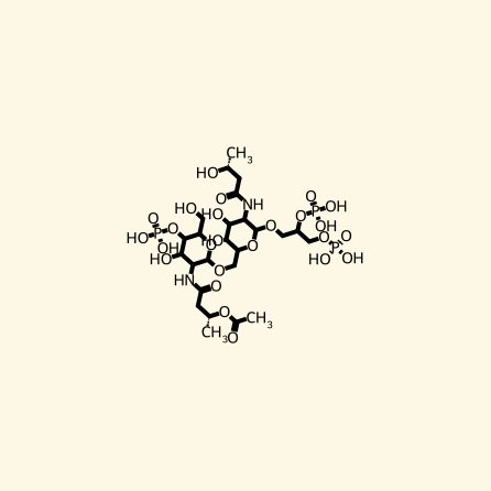 CC(=O)O[C@H](C)CC(=O)NC1C(OCC2OC(OCC(COP(=O)(O)O)OP(=O)(O)O)C(NC(=O)C[C@@H](C)O)C(O)C2O)OC(CO)C(OP(=O)(O)O)C1O